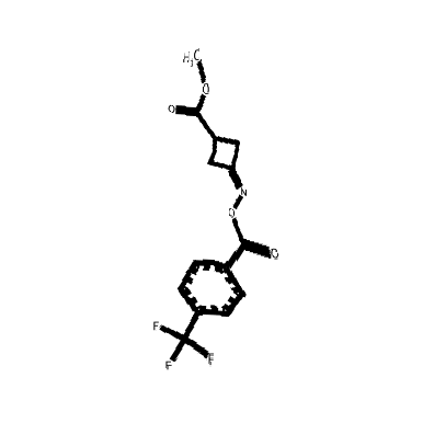 COC(=O)C1CC(=NOC(=O)c2ccc(C(F)(F)F)cc2)C1